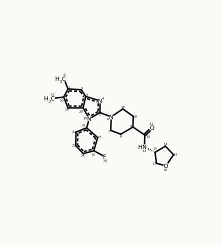 Cc1cc2nc(N3CCC(C(=O)N[C@@H]4CCOC4)CC3)n(-c3cccc(F)c3)c2cc1C